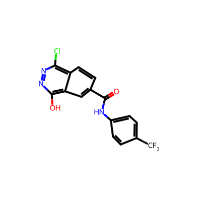 O=C(Nc1ccc(C(F)(F)F)cc1)c1ccc2c(Cl)nnc(O)c2c1